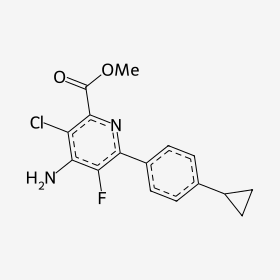 COC(=O)c1nc(-c2ccc(C3CC3)cc2)c(F)c(N)c1Cl